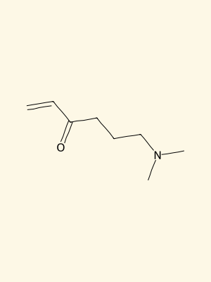 C=CC(=O)CCCN(C)C